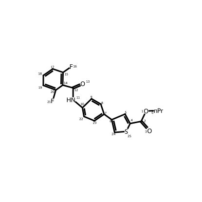 CCCOC(=O)c1cc(-c2ccc(NC(=O)c3c(F)cccc3F)cc2)cs1